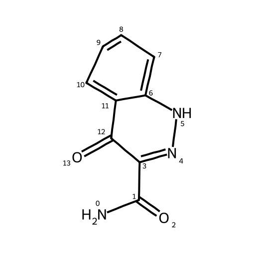 NC(=O)c1n[nH]c2ccccc2c1=O